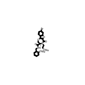 COCCN1C(=O)c2oc3cc(Br)ccc3c2OC[C@]1(C)C(=O)NCc1ccccc1OC